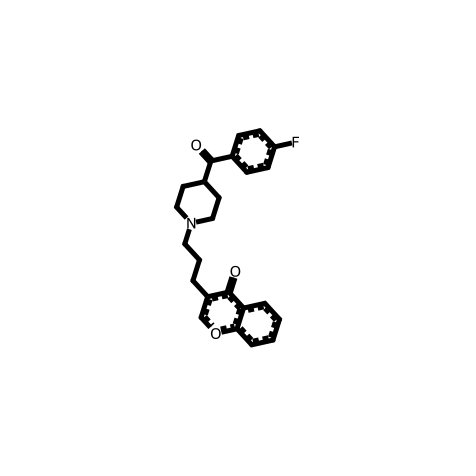 O=C(c1ccc(F)cc1)C1CCN(CCCc2coc3ccccc3c2=O)CC1